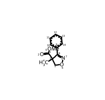 COC(=O)C1(C)CON=C1c1ccccc1